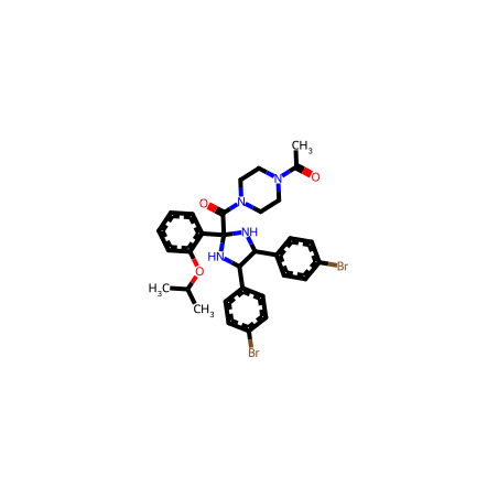 CC(=O)N1CCN(C(=O)C2(c3ccccc3OC(C)C)NC(c3ccc(Br)cc3)C(c3ccc(Br)cc3)N2)CC1